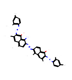 Nc1c(N=Nc2ccc3c(O)c(N=Nc4ccc([N+](=O)[O-])cc4S(=O)(=O)O)c(S(=O)(=O)O)cc3c2S(=O)(=O)O)cc(S(=O)(=O)O)c2cc(S(=O)(=O)O)c(N=Nc3ccc([N+](=O)[O-])cc3S(=O)(=O)O)c(O)c12